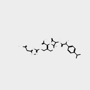 CC(C)c1ccc(C(O)C(=O)NC2C(=O)N3C(C(=O)O)=C(CSc4n[nH]c(CC(=O)O)n4)CS[C@@H]23)cc1